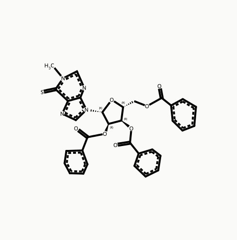 Cn1cnc2c(ncn2[C@@H]2O[C@H](COC(=O)c3ccccc3)[C@@H](OC(=O)c3ccccc3)[C@H]2OC(=O)c2ccccc2)c1=S